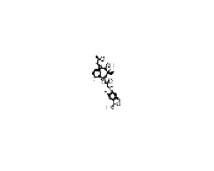 C=C[C@]1(C)C[C@@H](OC(=O)COc2cc3c(cc2F)B(O)OC3)[C@@]2(C)C[C@](CCC(C)=O)(CC[C@H]2C)[C@@H](C)[C@@H]1O